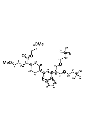 COCCOC(=O)C(OCCOC)C1CCC(c2cc(N(COCC[Si](C)(C)C)COCC[Si](C)(C)C)n3nccc3n2)CC1